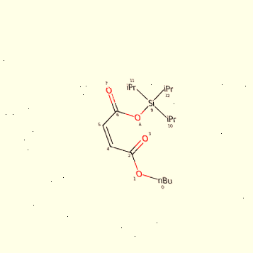 CCCCOC(=O)/C=C\C(=O)O[Si](C(C)C)(C(C)C)C(C)C